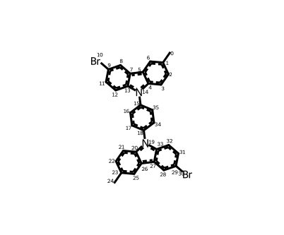 Cc1ccc2c(c1)c1cc(Br)ccc1n2-c1ccc(-n2c3ccc(C)cc3c3cc(Br)ccc32)cc1